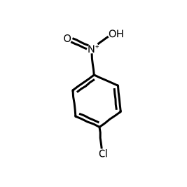 O=[N+](O)c1ccc(Cl)cc1